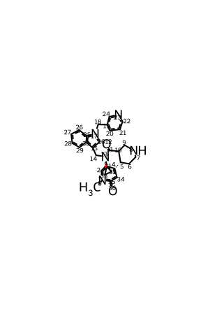 Cn1ccc([C@H]2CCNCC2C(=O)N(Cc2cn(Cc3cccnc3)c3ccccc23)C2CC2)cc1=O